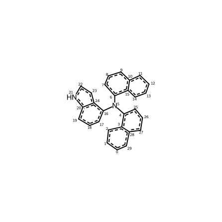 c1ccc2c(N(c3cccc4ccccc34)c3cccc4[nH]ccc34)cccc2c1